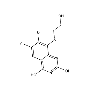 OCCSc1c(Br)c(Cl)cc2c(O)nc(O)nc12